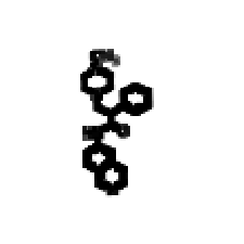 CN1CCN(CC(C(=O)Nc2ccc3cnccc3c2)c2ccccc2)CC1